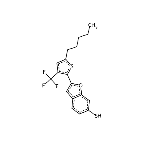 CCCCCc1cc(C(F)(F)F)c(-c2cc3ccc(S)cc3o2)s1